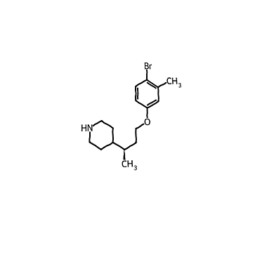 Cc1cc(OCC[C@@H](C)C2CCNCC2)ccc1Br